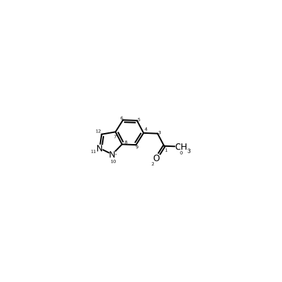 CC(=O)Cc1ccc2c(c1)[N]N=C2